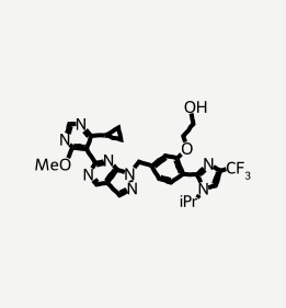 COc1ncnc(C2CC2)c1-c1ncc2cnn(Cc3ccc(-c4nc(C(F)(F)F)cn4C(C)C)c(OCCO)c3)c2n1